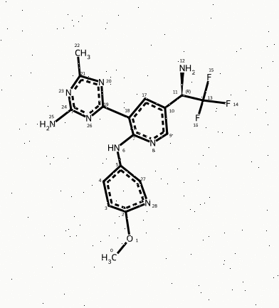 COc1ccc(Nc2ncc([C@@H](N)C(F)(F)F)cc2-c2nc(C)nc(N)n2)cn1